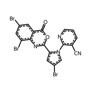 N#Cc1cccnc1-n1cc(Br)cc1-c1nc2c(Br)cc(Br)cc2c(=O)o1